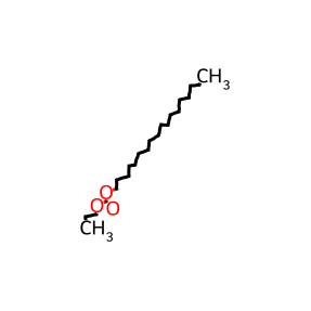 CCCCCCCCCCCCCCCCCCOC(=O)OCCC